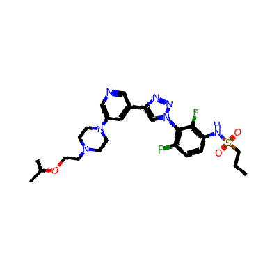 CCCS(=O)(=O)Nc1ccc(F)c(-n2cc(-c3cncc(N4CCN(CCOC(C)C)CC4)c3)nn2)c1F